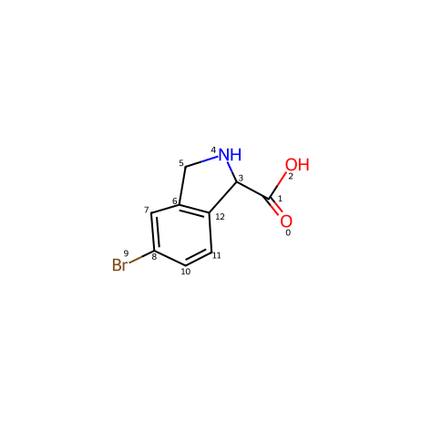 O=C(O)C1NCc2cc(Br)ccc21